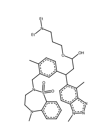 CCN(CC)CCCOC(O)CC(c1ccc(C)c(CN2CCN(C)c3ccccc3S2(=O)=O)c1)c1ccc2c(nnn2C)c1C